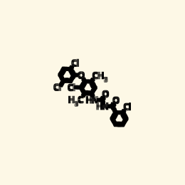 Cc1cc(NC(=O)NC(=O)c2ccccc2Cl)c(C)c(Cl)c1Oc1cc(Cl)ccc1Cl